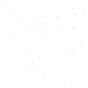 CCOC(=O)[C@@H](N)Cc1ccc(OC(=O)N(C)C)cc1